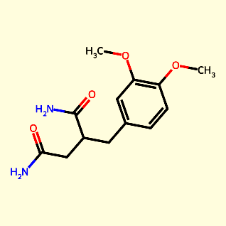 COc1ccc(CC(CC(N)=O)C(N)=O)cc1OC